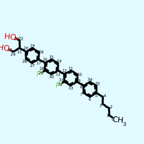 CCCCCc1ccc(-c2ccc(-c3ccc(-c4ccc(C(CO)CO)cc4)c(F)c3)c(F)c2)cc1